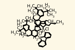 CCCCC1=Cc2c(ccc(CC)c2-c2cc(C(C)(C)C)cc(C(C)(C)C)c2)[CH]1[Zr]([Cl])([Cl])([c]1cccc2c1[SiH2]c1ccccc1-2)[CH]1C(CCCC)=Cc2c1ccc(CC)c2-c1cc(C(C)(C)C)cc(C(C)(C)C)c1